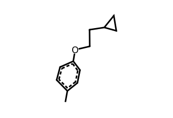 Cc1ccc(OCCC2CC2)cc1